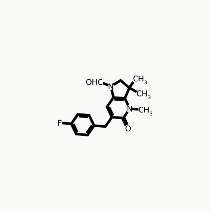 Cn1c2c(cc(Cc3ccc(F)cc3)c1=O)N(C=O)CC2(C)C